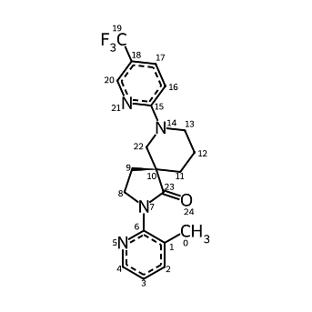 Cc1cccnc1N1CC[C@@]2(CCCN(c3ccc(C(F)(F)F)cn3)C2)C1=O